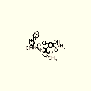 Cn1cnc2c(c(-c3cc(C(N)=O)c(O)cc3Cl)cn2CC(=O)Nc2cc(N3CCOCC3)ncc2Cl)c1=O